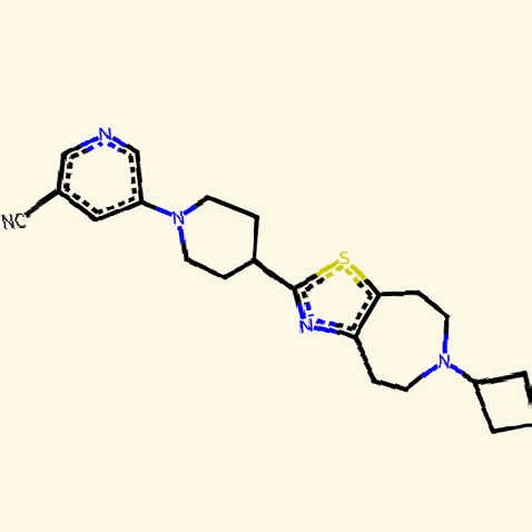 N#Cc1cncc(N2CCC(c3nc4c(s3)CCN(C3CCC3)CC4)CC2)c1